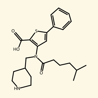 CC(C)CCCC(=O)N(CC1CCNCC1)c1cc(-c2ccccc2)sc1C(=O)O